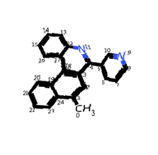 Cc1cc2c(-c3cccnc3)nc3ccccc3c2c2ccccc12